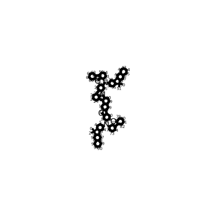 CC1(C)c2ccc(N(c3ccc4c(c3)oc3cc5c(ccc6c5c5cccc7c8ccc(N(c9ccc%10c(c9)-c9cc%11ccccc%11cc9C%10(C)C)c9cccc%10c9oc9ccccc9%10)cc8n6c75)cc34)c3cccc4c3oc3ccccc34)cc2-c2cc3ccccc3cc21